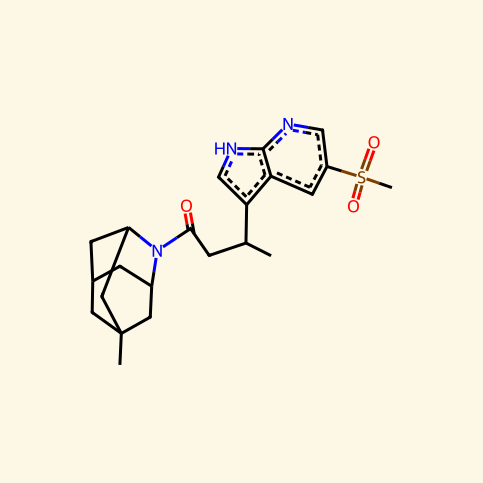 CC(CC(=O)N1C2CC3CC1CC(C)(C3)C2)c1c[nH]c2ncc(S(C)(=O)=O)cc12